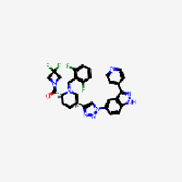 O=C([C@H]1CC[C@H](c2cn(-c3ccc4[nH]nc(-c5ccncc5)c4c3)nn2)CN1Cc1c(F)cccc1F)N1CC(F)(F)C1